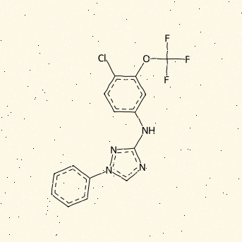 FC(F)(F)Oc1cc(Nc2ncn(-c3ccccc3)n2)ccc1Cl